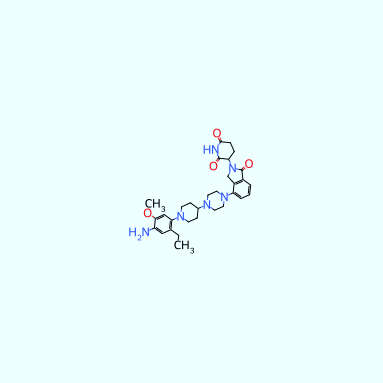 CCc1cc(N)c(OC)cc1N1CCC(N2CCN(c3cccc4c3CN(C3CCC(=O)NC3=O)C4=O)CC2)CC1